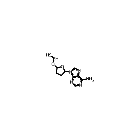 Nc1ncnc2c1ncn2[C@H]1CCC(OPS)O1